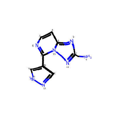 Nc1nc2ccnc(-c3cn[nH]c3)n2n1